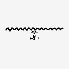 CCCCCCCCCCCCCCCCCCCCCCCCCCCC.CN(C)C.Cl.N